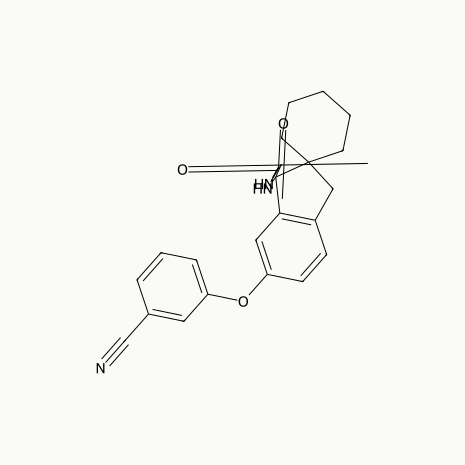 N#Cc1cccc(Oc2ccc3c(c2)C2(NC(=O)NC2=O)C2(CCCCC2)C3)c1